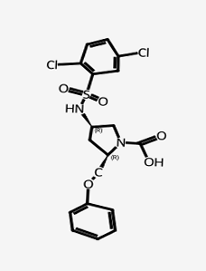 O=C(O)N1C[C@H](NS(=O)(=O)c2cc(Cl)ccc2Cl)C[C@@H]1COc1ccccc1